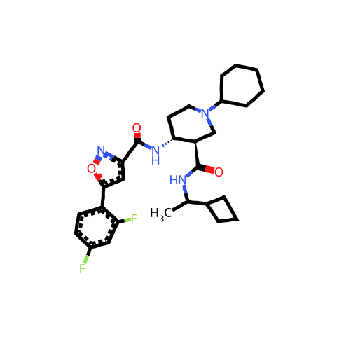 CC(NC(=O)[C@@H]1CN(C2CCCCC2)CC[C@H]1NC(=O)c1cc(-c2ccc(F)cc2F)on1)C1CCC1